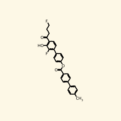 Cc1ccc(-c2ccc(C(=O)Oc3ccc(-c4ccc(C(=O)CCCF)c(O)c4F)cc3)cc2)cc1